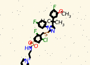 COc1cc(C(C)(C)c2cnc(SCc3c(F)cc(S(=O)(=O)NCCC[n+]4ccccc4)cc3Cl)n2-c2ccc(F)cc2)ccc1F